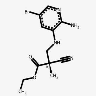 CCOC(=O)[C@@](C)(C#N)CNc1cc(Br)cnc1N